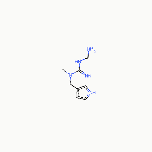 CN(Cc1cc[nH]c1)C(=N)NCN